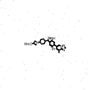 COC1CN(C2CCC(c3n[nH]c4cc(-c5cc(C)c6ncnn6c5)c(C(C)C)cc34)CC2)C1